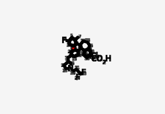 Cc1cc(F)cc(C)c1C1=C(c2ccc(CC3CCN(CCC(F)F)C3)cc2)c2ccc(C(=O)O)cc2CCC1.Cl